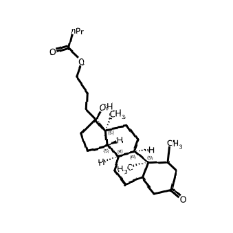 CCCC(=O)OCCCC1(O)CC[C@H]2[C@@H]3CCC4CC(=O)CC(C)[C@]4(C)[C@@H]3CC[C@@]21C